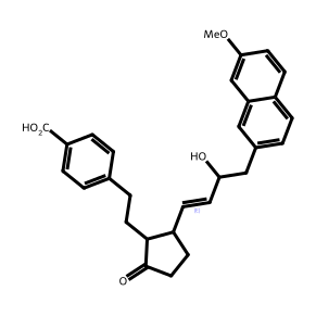 COc1ccc2ccc(CC(O)/C=C/C3CCC(=O)C3CCc3ccc(C(=O)O)cc3)cc2c1